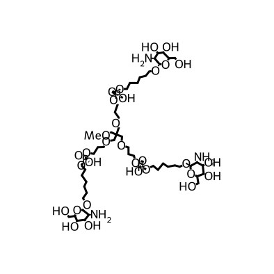 COCC(COCCCOP(=O)(O)OCCCCCCO[C@@H]1OC(CO)[C@H](O)C(O)[C@@H]1N)(COCCCOP(=O)(O)OCCCCCCO[C@@H]1OC(CO)[C@H](O)C(O)[C@@H]1N)COCCCOP(=O)(O)OCCCCCCO[C@@H]1OC(CO)[C@H](O)C(O)[C@@H]1N